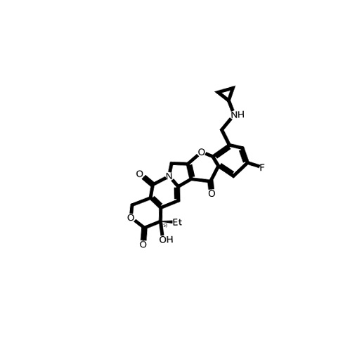 CC[C@@]1(O)C(=O)OCc2c1cc1n(c2=O)Cc2oc3c(CNC4CC4)cc(F)cc3c(=O)c2-1